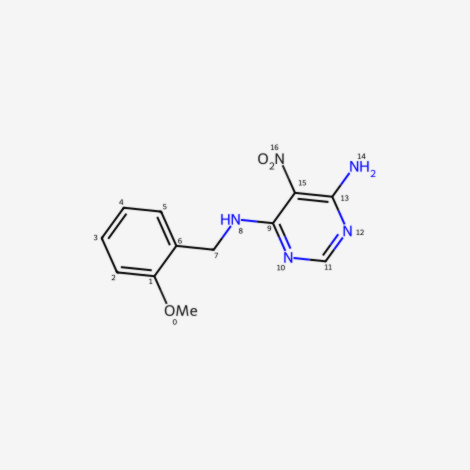 COc1ccccc1CNc1ncnc(N)c1[N+](=O)[O-]